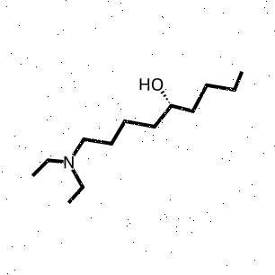 CCCC[C@@H](O)CCCCN(CC)CC